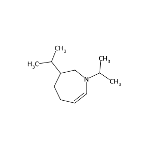 CC(C)C1CCC=CN(C(C)C)C1